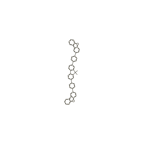 CC1(C)c2cc(-c3ccc(-c4ccc5oc6ccccc6c5c4)cc3)ccc2-c2ccc(-c3ccc(-c4ccc5oc6ccccc6c5c4)cc3)cc21